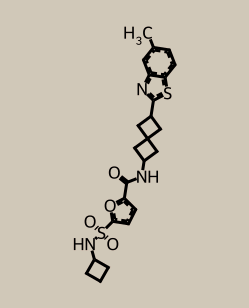 Cc1ccc2sc(C3CC4(CC(NC(=O)c5ccc(S(=O)(=O)NC6CCC6)o5)C4)C3)nc2c1